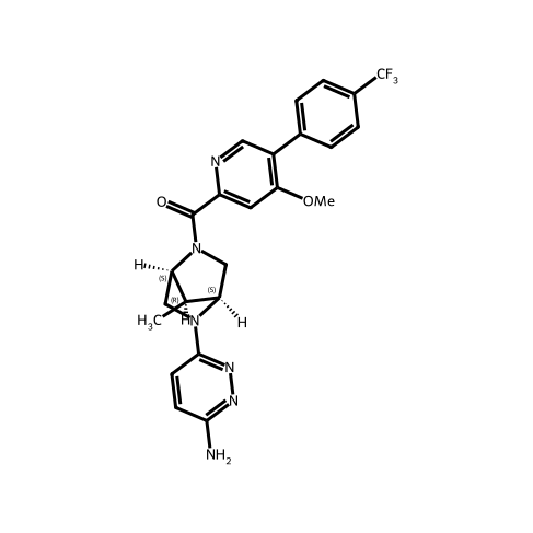 COc1cc(C(=O)N2C[C@@H]3[C@@H](C)[C@H]2CN3c2ccc(N)nn2)ncc1-c1ccc(C(F)(F)F)cc1